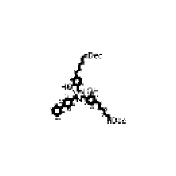 CCCCCCCCCCCCCCCc1ccc(-c2nc(-c3ccc(-c4ccccc4)cc3)nc(-c3ccc(CCCCCCCCCCCCCCC)cc3O)n2)c(O)c1